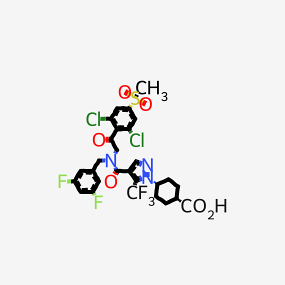 CS(=O)(=O)c1cc(Cl)c(C(=O)CN(Cc2cc(F)cc(F)c2)C(=O)c2cnn([C@H]3CC[C@H](C(=O)O)CC3)c2C(F)(F)F)c(Cl)c1